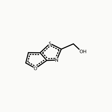 OCc1nc2occc2s1